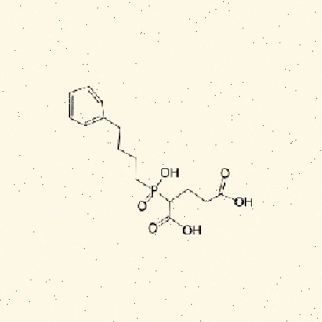 O=C(O)CCC(C(=O)O)P(=O)(O)CCCCc1ccccc1